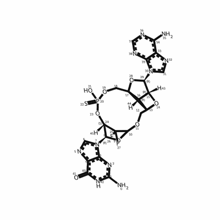 Nc1nc2c(ncn2[C@@H]2OC3OCC45O[C@@H]6[C@H]4C5(COP(O)(=S)O[C@@H]2C3(F)F)O[C@H]6n2cnc3c(N)ncnc32)c(=O)[nH]1